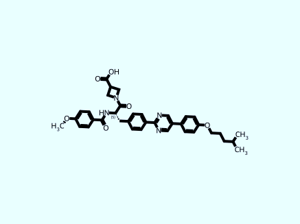 COc1ccc(C(=O)N[C@@H](Cc2ccc(-c3ncc(-c4ccc(OCCCC(C)C)cc4)cn3)cc2)C(=O)N2CC(C(=O)O)C2)cc1